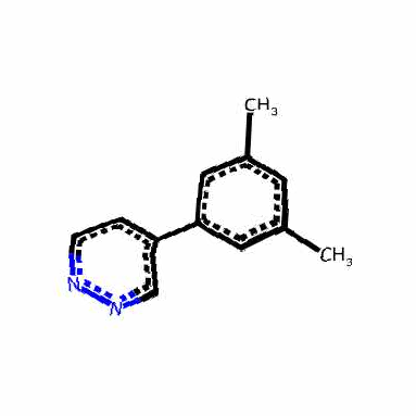 Cc1cc(C)cc(-c2ccnnc2)c1